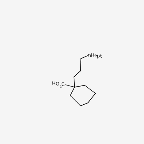 CCCCCCCCCCC1(C(=O)O)CCCCC1